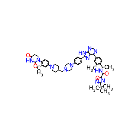 Cc1cc(-c2ncnc3[nH]c(-c4ccc(N5CCN(CC6CCN(c7ccc(N8CCC(=O)NC8=O)c(C)c7)CC6)CC5)cc4)nc23)ccc1C(C)NC(=O)c1nc(C(C)(C)C)no1